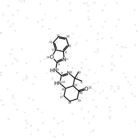 CC1(C)N=C(Nc2nc3ccccc3o2)NC2CCCC(=O)C21